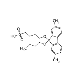 CCCCOC1(OCCCCS(=O)(=O)O)c2cc(C)ccc2-c2ccc(C)cc21